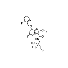 Cc1nc2c(OCc3c(F)cccc3F)cc(I)cn2c1C(=O)NCC(C)(N)CCF